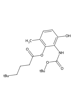 Cc1ccc(O)c(NC(=O)OC(C)(C)C)c1OC(=O)CCCC(C)(C)C